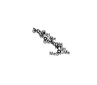 C=CC(=O)N1CCC2Nc3c(C(N)=O)c(-c4cc(OC)c(C/C=C/C(=O)N5CCC6C(CNc7c(C(N)=O)c(-c8cc(OC)c(C)c(OC)c8)nn76)C5)c(OC)c4)nn3CC2C1